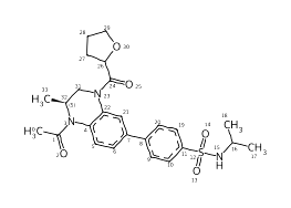 CC(=O)N1c2ccc(-c3ccc(S(=O)(=O)NC(C)C)cc3)cc2N(C(=O)C2CCCO2)C[C@@H]1C